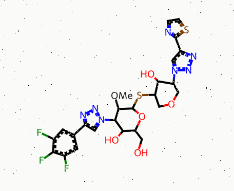 COC1C(SC2COCC(n3cc(-c4nccs4)nn3)C2O)OC(CO)C(O)C1n1cc(-c2cc(F)c(F)c(F)c2)nn1